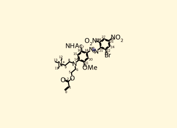 C=CC(=O)OCCN(CC[N+](C)(C)C)c1cc(NC(C)=O)c(/N=N/c2c(Br)cc([N+](=O)[O-])cc2[N+](=O)[O-])cc1OC